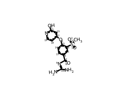 CS(=O)(=O)c1cc(C(=O)N=C(N)N)ccc1Oc1ccnc(O)c1